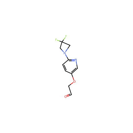 O=CCOc1ccc(N2CC(F)(F)C2)nc1